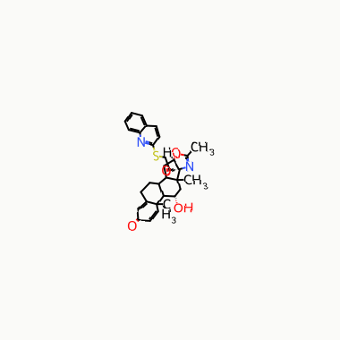 CC1=N[C@]2(C(=O)CSc3ccc4ccccc4n3)[C@@H](CC3C4CCC5=CC(=O)C=CC5(C)C4[C@@H](O)CC32C)O1